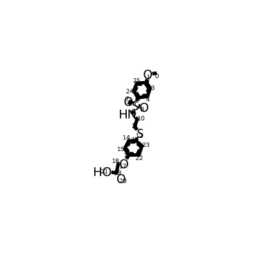 COc1ccc(S(=O)(=O)NCCSc2ccc(OCC(=O)O)cc2)cc1